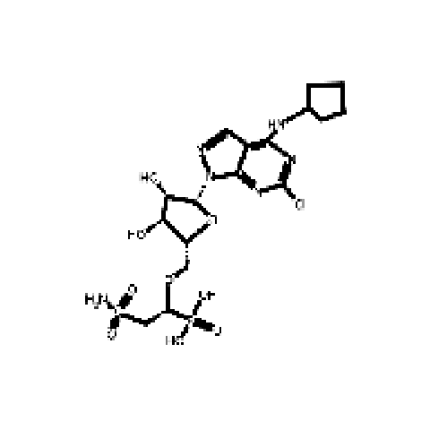 NS(=O)(=O)C[C@@H](OC[C@H]1O[C@@H](n2ncc3c(NC4CCCC4)nc(Cl)nc32)[C@H](O)[C@@H]1O)P(=O)(O)O